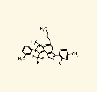 C=C(CCCC)CC1=C(C2=C(C(F)(F)F)N(c3cccc(C)c3)N(C)C2)CN=C1c1ccc(C)cc1Cl